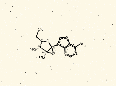 Nc1ncnc2c1ncn2[C@]12O[C@H](CO)[C@@H](O)[C@]1(O)O2